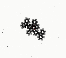 c1ccc(-n2c3ccccc3c3cc(-n4c5ccccc5c5ccccc54)ccc32)c(-c2nc(-n3c4ccccc4c4cccnc43)nc(-n3c4ccccc4c4cccnc43)n2)c1